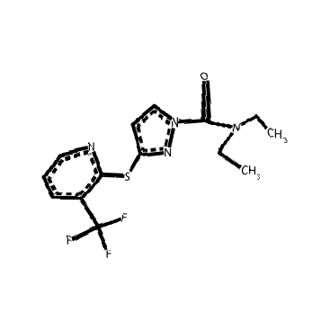 CCN(CC)C(=O)n1ccc(Sc2ncccc2C(F)(F)F)n1